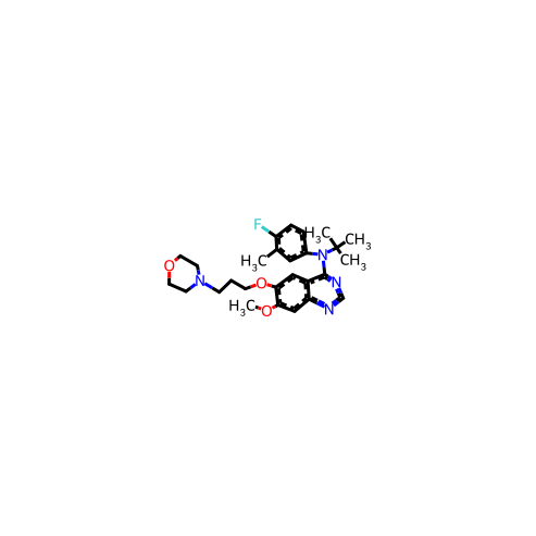 COc1cc2ncnc(N(c3ccc(F)c(C)c3)C(C)(C)C)c2cc1OCCCN1CCOCC1